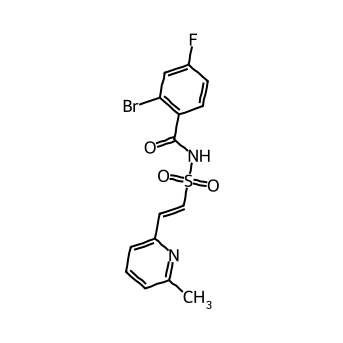 Cc1cccc(C=CS(=O)(=O)NC(=O)c2ccc(F)cc2Br)n1